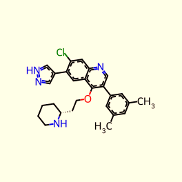 Cc1cc(C)cc(-c2cnc3cc(Cl)c(-c4cn[nH]c4)cc3c2OCC[C@H]2CCCCN2)c1